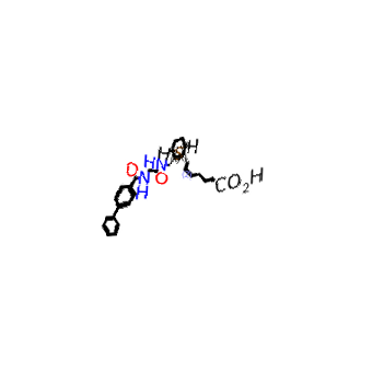 O=C(O)CCC/C=C\C[C@@H]1[C@H](CNC(=O)CNC(=O)c2ccc(-c3ccccc3)cc2)[C@@H]2CC[C@H]1S2